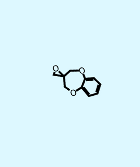 c1ccc2c(c1)OCC1(CO2)CO1